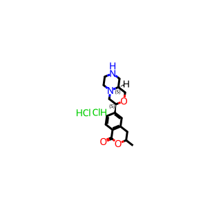 CC1Cc2cc([C@H]3CN4CCNC[C@H]4CO3)ccc2C(=O)O1.Cl.Cl